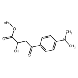 CCCOC(=O)C(O)CC(=O)c1ccc(N(C)C)cc1